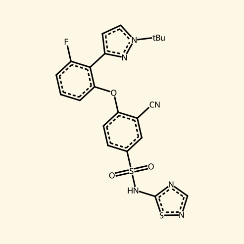 CC(C)(C)n1ccc(-c2c(F)cccc2Oc2ccc(S(=O)(=O)Nc3ncns3)cc2C#N)n1